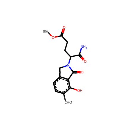 CC(C)(C)OC(=O)CCC(C(N)=O)N1Cc2ccc(C=O)c(O)c2C1=O